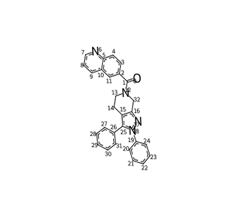 O=C(c1ccc2ncccc2c1)N1CCc2c(nn(-c3ccccc3)c2-c2ccccc2)C1